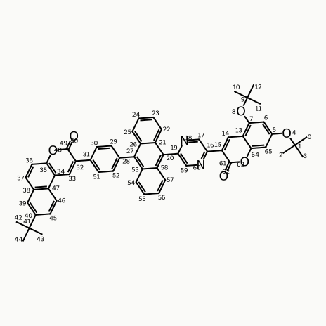 CC(C)(C)Oc1cc(OC(C)(C)C)c2cc(-c3cnc(-c4c5ccccc5c(-c5ccc(-c6cc7c(ccc8cc(C(C)(C)C)ccc87)oc6=O)cc5)c5ccccc45)cn3)c(=O)oc2c1